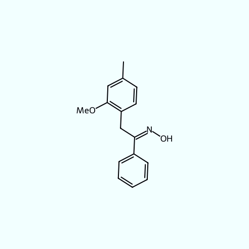 COc1cc(C)ccc1CC(=NO)c1ccccc1